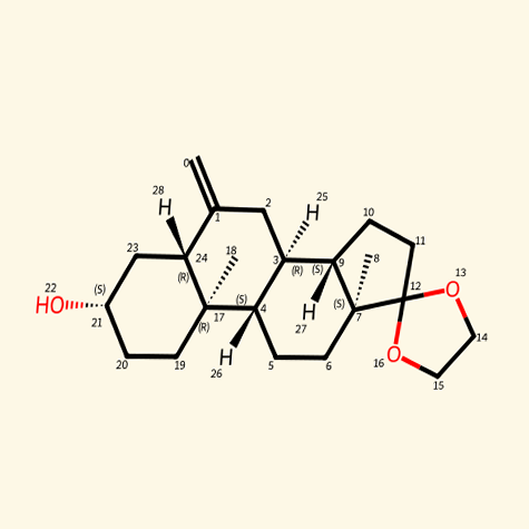 C=C1C[C@@H]2[C@H](CC[C@@]3(C)[C@H]2CCC32OCCO2)[C@@]2(C)CC[C@H](O)C[C@H]12